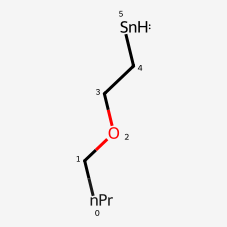 CCCCOC[CH2][SnH]